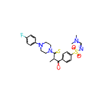 CC(C(=O)c1ccc(S(=O)(=O)/N=C\N(C)C)cc1)C(=S)N1CCN(c2ccc(F)cc2)CC1